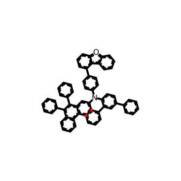 c1ccc(-c2ccc(N(c3ccc(-c4cccc5oc6ccccc6c45)cc3)c3ccc4c(c3)c(-c3ccccc3)c(-c3ccccc3)c3ccccc34)c(-c3ccccc3)c2)cc1